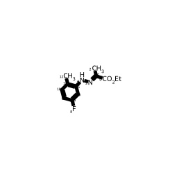 CCOC(=O)C(C)=NNc1cc(F)ccc1C